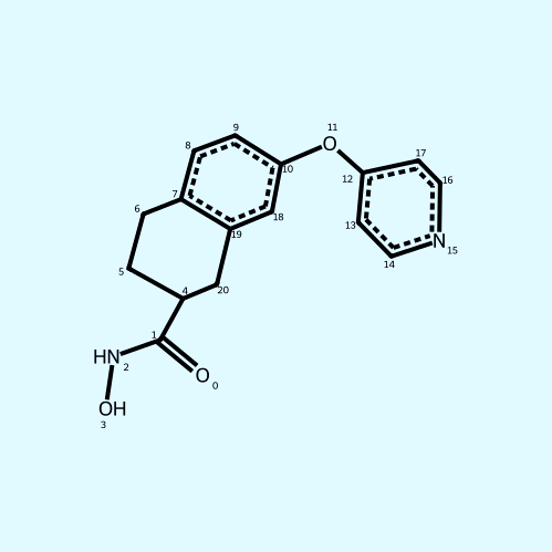 O=C(NO)C1CCc2ccc(Oc3ccncc3)cc2C1